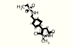 CCS(=O)(=O)NCc1ccc(C2=C(Cl)N(C)NC(=O)C2)cc1